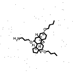 CCCCO[C@@H]1CC[C@@]2(C)[C@@H](C1)C[C@@H](OCCCN)C1[C@@H]2C[C@H](OCCCC)[C@]2(C)CCC[C@@H]12